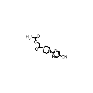 N#Cc1cnc(N2CCN(C(=O)COC(N)=O)CC2)nc1